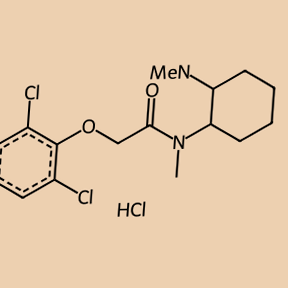 CNC1CCCCC1N(C)C(=O)COc1c(Cl)cccc1Cl.Cl